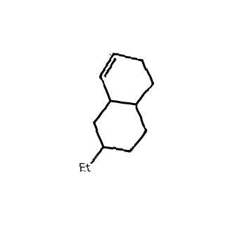 CCC1CCC2CC[C]=CC2C1